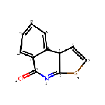 O=C1N=C2SC=CC2c2ccccc21